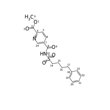 COC(=O)c1ccc(C(=O)NS(=O)(=O)CCCCc2ccccc2)cn1